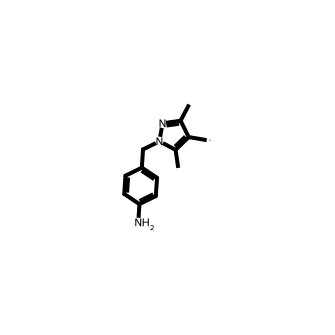 [CH2]c1c(C)nn(Cc2ccc(N)cc2)c1C